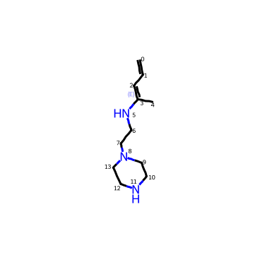 C=C/C=C(\C)NCCN1CCNCC1